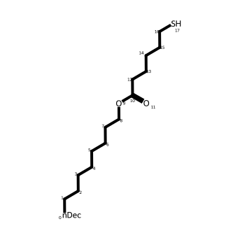 CCCCCCCCCCCCCCCCCCOC(=O)CCCCCS